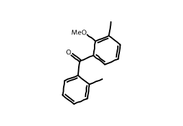 COc1c(C)cccc1C(=O)c1ccccc1C